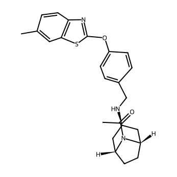 CC(=O)N1[C@@H]2CC[C@H]1C[C@H](NCc1ccc(Oc3nc4ccc(C)cc4s3)cc1)C2